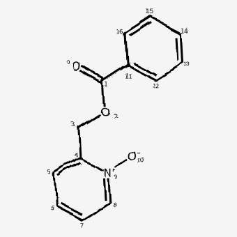 O=C(OCc1cccc[n+]1[O-])c1ccccc1